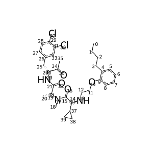 CCCCc1ccccc1OCCN[C@H](C(=O)N(C)[C@H](C)C(=O)N[C@H](Cc1ccc(Cl)c(Cl)c1)C(C)=O)C1CC1